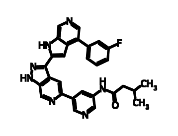 CC(C)CC(=O)Nc1cncc(-c2cc3c(-c4cc5c(-c6cccc(F)c6)cncc5[nH]4)n[nH]c3cn2)c1